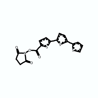 O=C(ON1C(=O)CCC1=O)c1ccc(-c2ccc(-c3cccs3)s2)s1